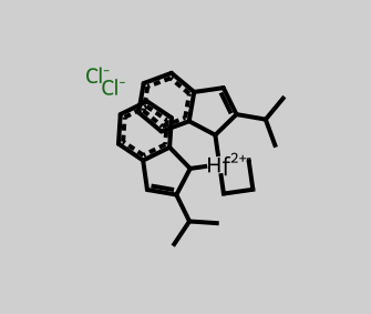 CC(C)C1=Cc2ccccc2[CH]1[Hf+2]1([CH]2C(C(C)C)=Cc3ccccc32)[CH2]C[CH2]1.[Cl-].[Cl-]